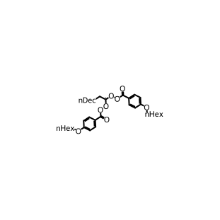 [CH2]CCCCCCCCCC[C](OOC(=O)c1ccc(OCCCCCC)cc1)OOC(=O)c1ccc(OCCCCCC)cc1